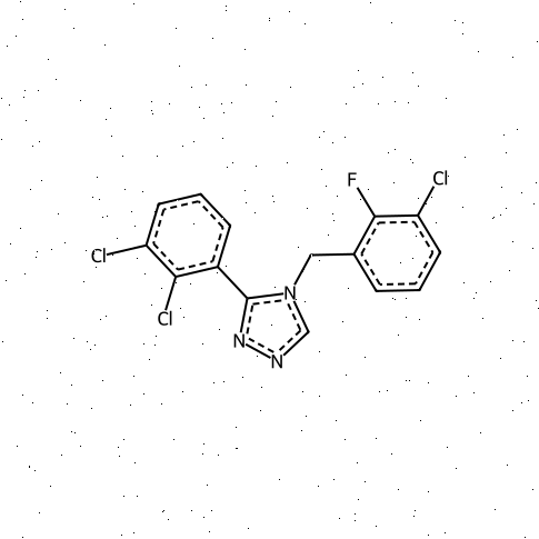 Fc1c(Cl)cccc1Cn1cnnc1-c1cccc(Cl)c1Cl